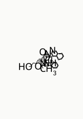 CC(=O)N(NCc1ccccc1Cl)[C@H](CCCCO)CON(C=O)c1cc2ccccc2cn1